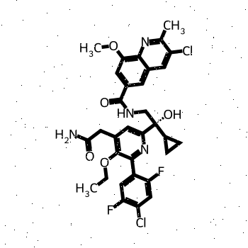 CCOc1c(CC(N)=O)cc([C@@](O)(CNC(=O)c2cc(OC)c3nc(C)c(Cl)cc3c2)C2CC2)nc1-c1cc(F)c(Cl)cc1F